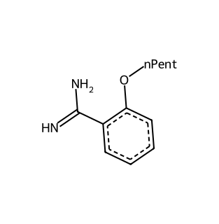 CCCCCOc1ccccc1C(=N)N